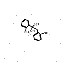 O=[N+]([O-])c1ccccc1CC(O)(O)c1ccccc1[N+](=O)[O-]